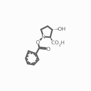 O=C(ON1CC[C@H](O)[C@H]1C(=O)O)c1ccccc1